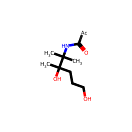 CC(=O)C(=O)NC(C)(C)C(C)(O)CCCO